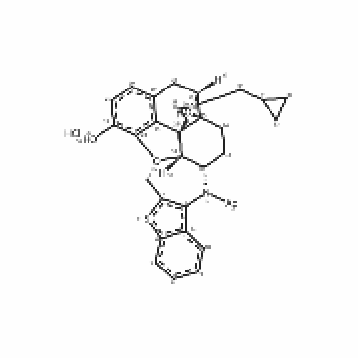 CC(=O)N(c1c(C)sc2ccccc12)[C@H]1CC[C@@]2(O)[C@H]3Cc4ccc(O)c5c4[C@@]2(CCN3CC2CC2)[C@H]1O5.Cl